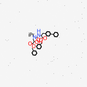 CC(C)N(CC(O)C(=O)OCc1ccccc1)C(=O)NC(Cc1ccc(-c2ccccc2)cc1)C(=O)OCc1ccccc1